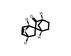 O=C1[C@@H]2CC[C@@H](C2)C12C[C@@H]1C=C[C@H]2O1